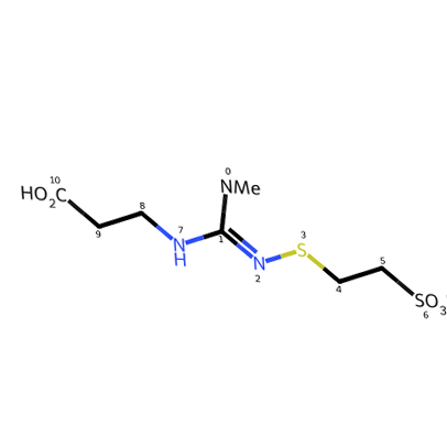 CN/C(=N\SCCS(=O)(=O)O)NCCC(=O)O